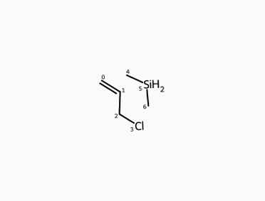 C=CCCl.C[SiH2]C